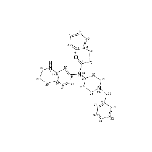 O=C(/C=C\c1ccccc1)N(c1ccc2c(c1)NCCC2)C1CCN(Cc2ccccc2)CC1